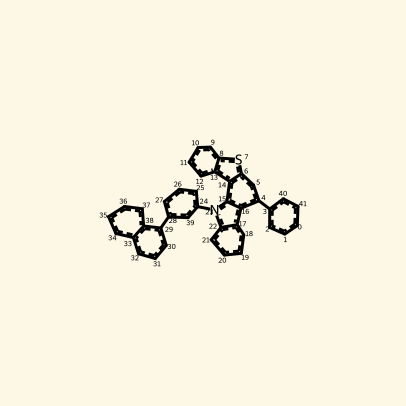 c1ccc(-c2cc3sc4ccccc4c3c3c2c2ccccc2n3-c2cccc(-c3cccc4ccccc34)c2)cc1